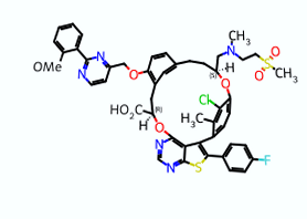 COc1ccccc1-c1nccc(COc2ccc3cc2C[C@H](C(=O)O)Oc2ncnc4sc(-c5ccc(F)cc5)c(c24)-c2ccc(c(Cl)c2C)O[C@H](CN(C)CCS(C)(=O)=O)CC3)n1